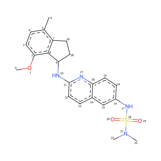 COc1ccc(C)c2c1C(Nc1ccc3cc(NS(=O)(=O)N(C)C)ccc3n1)CC2